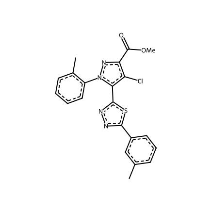 COC(=O)c1nn(-c2ccccc2C)c(-c2nnc(-c3cccc(C)c3)s2)c1Cl